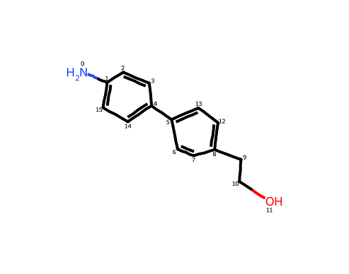 Nc1ccc(-c2ccc(CCO)cc2)cc1